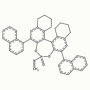 C=NP1(=O)Oc2c(-c3cccc4ccccc34)cc3c(c2-c2c4c(cc(-c5cccc6ccccc56)c2O1)CCCC4)CCCC3